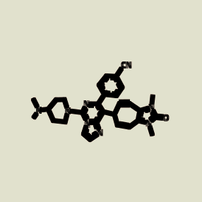 CN(C)C1CCN(c2nc(-c3ccc(C#N)cc3)c(C3C#Cc4c(n(C)c(=O)n4C)C=C3)c3nccn23)CC1